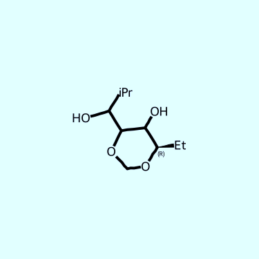 CC[C@H]1OCOC(C(O)C(C)C)C1O